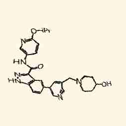 CC(C)Oc1ccc(NC(=O)c2n[nH]c3ccc(-c4cncc(CN5CCC(O)CC5)c4)cc23)cn1